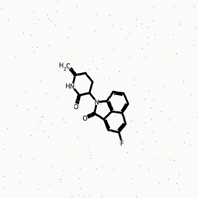 C=C1CCC(N2C(=O)c3cc(F)cc4cccc2c34)C(=O)N1